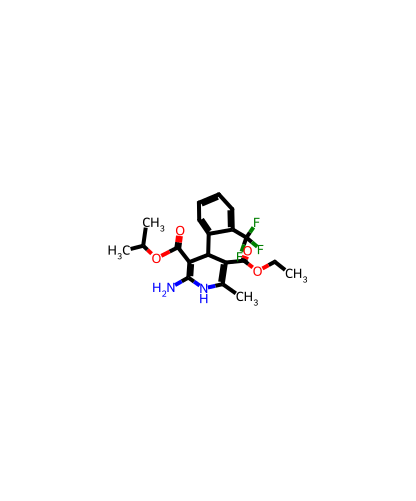 CCOC(=O)C1=C(C)NC(N)=C(C(=O)OC(C)C)C1c1ccccc1C(F)(F)F